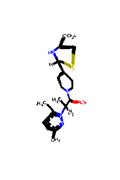 CCC1(C2CCN(C(=O)C(C)(C)n3nc(C)cc3C)CC2)NC(C(=O)O)=CS1